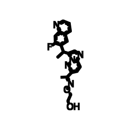 C/C(=N\OCCO)c1ccc2ncc(C(C)c3cc4cccnc4cc3F)n2n1